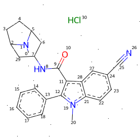 CN1C2CCC1CC(NC(=O)c1c(-c3ccccc3)n(C)c3ccc(C#N)cc13)C2.Cl